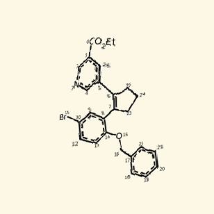 CCOC(=O)c1cncc(C2=C(c3cc(Br)ccc3OCc3ccccc3)CCC2)c1